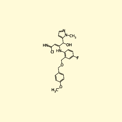 COc1ccc(COCc2cc(F)ccc2N/C(=C\C(=N)Cl)C(O)c2ccnn2C)cc1